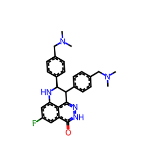 CN(C)Cc1ccc(C2Nc3cc(F)cc4c(=O)[nH]nc(c34)C2c2ccc(CN(C)C)cc2)cc1